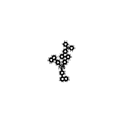 c1ccc(N(c2ccccc2)c2ccc(-c3ccccc3-c3ccccc3-c3ccc(-n4nc(-c5ccc(-c6cccc7ccccc67)cc5)nc4-c4ccc(-c5cccc6ccccc56)cc4)cc3)cc2)cc1